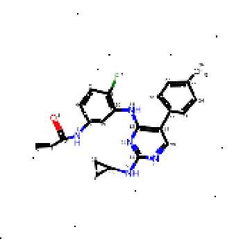 C=CC(=O)Nc1ccc(F)c(Nc2nc(NC3CC3)ncc2-c2ccc(C(F)(F)F)cc2)c1